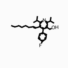 CCCCCCC=Cc1c(C(C)C)nc(C(C)C)c(CO)c1-c1ccc(F)cc1